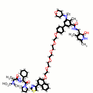 CCN(c1cc(-c2ccc(OCCOCCOCCOCCOCCOc3ccc(-c4csc([C@@H]5CCCN5C(=O)[C@@H](NC(=O)[C@H](C)N(C)C(=O)O)C5CCCCC5)n4)c4ccccc34)cc2)cc(C(=O)NCC2=C(C)C=C(C)NC2O)c1C)C1CCOCC1